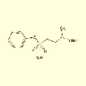 CCCCCCCCCC(C)CCS(=O)(=O)Oc1ccccc1.[NaH]